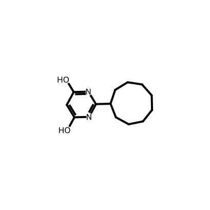 Oc1cc(O)nc(C2CCCCCCCC2)n1